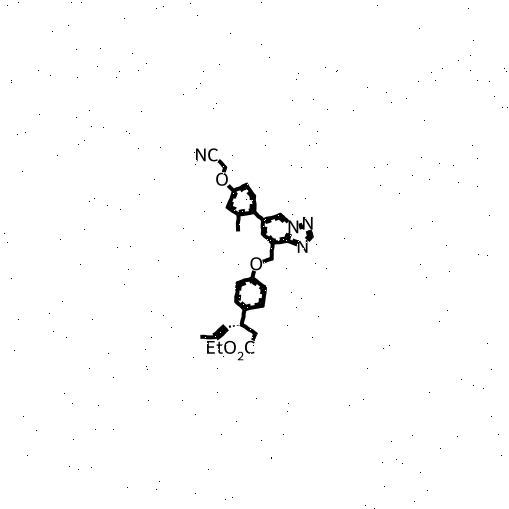 CC#C[C@@H](CC(=O)OCC)c1ccc(OCc2cc(-c3ccc(OCC#N)cc3C)cn3ncnc23)cc1